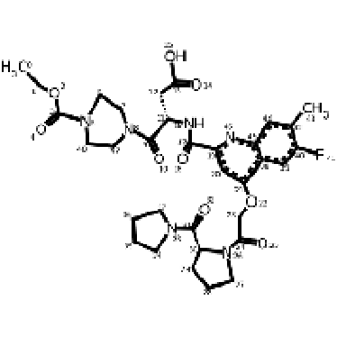 CCOC(=O)N1CCN(C(=O)[C@H](CC(=O)O)NC(=O)c2cc(OCC(=O)N3CCC[C@H]3C(=O)N3CCCC3)c3cc(F)c(C)cc3n2)CC1